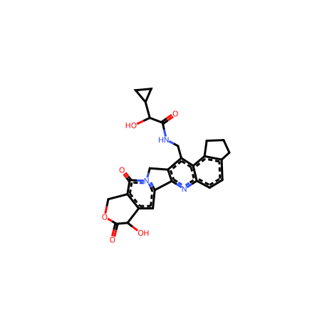 O=C1OCc2c(cc3n(c2=O)Cc2c-3nc3ccc4c(c3c2CNC(=O)C(O)C2CC2)CCC4)C1O